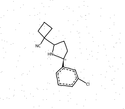 N#CC1(C2CC[C@@H](c3cccc(Cl)c3)N2)CCC1